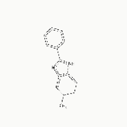 CC1C=c2nc(-c3ccccc3)[nH]c2=CC1